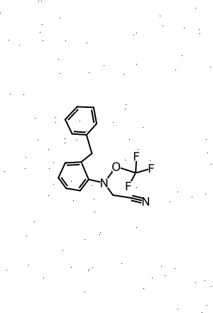 N#CCN(OC(F)(F)F)c1ccccc1Cc1ccccc1